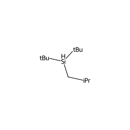 CC(C)C[SiH](C(C)(C)C)C(C)(C)C